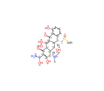 CCC[S+]([O-])C[C@H]1c2cccc(O)c2C(=O)C2=C(O)[C@]3(O)C(=O)C(C(N)O)=C(O)[C@@H](N(C)C)[C@@H]3[C@@H](O)[C@@H]21